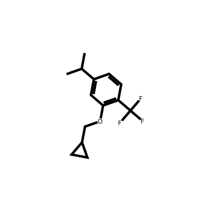 CC(C)c1ccc(C(F)(F)F)c(OCC2CC2)c1